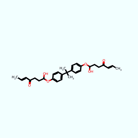 CC=CC(=O)CCC(O)Oc1ccc(C(C)(C)c2ccc(OC(O)CCC(=O)C=CC)cc2)cc1